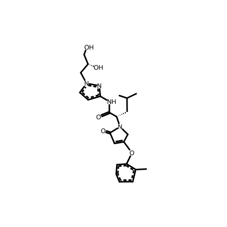 Cc1ccccc1OC1=CC(=O)N([C@@H](CC(C)C)C(=O)Nc2ccn(C[C@@H](O)CO)n2)C1